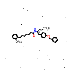 COc1ccccc1CCCCCCC(=O)N[C@@H](CCC(=O)O)Cc1ccc(OCc2ccccc2)cc1